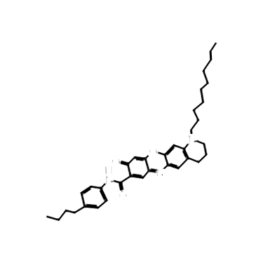 CCCCCCCCCCN1CCCc2cc3nc4cc(C(=O)Nc5ccc(CCCC)cc5)c(=O)cc-4oc3cc21